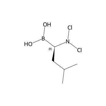 CC(C)C[C@@H](B(O)O)N(Cl)Cl